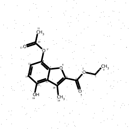 CCOC(=O)c1oc2c(OC(C)=O)ccc(O)c2c1C